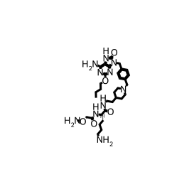 CCCCOc1nc(N)c2[nH]c(=O)n(Cc3ccc(CN4CCC(CCNC(=O)[C@H](CCCCN)NC(=O)CON)CC4)cc3)c2n1